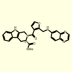 CNC(=O)[C@H]1Cc2c([nH]c3ccccc23)CN1C(=O)c1ccoc1CNc1ccc2nccnc2c1